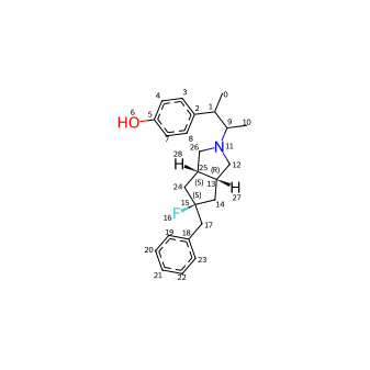 CC(c1ccc(O)cc1)C(C)N1C[C@@H]2C[C@](F)(Cc3ccccc3)C[C@@H]2C1